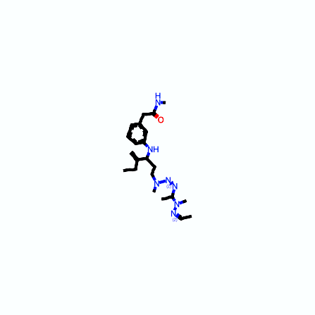 C=C(CC)C(CCN(C)/N=N\C(C)N(C)/N=C\C)Nc1cccc(CC(=O)NC)c1